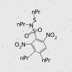 CCCSN(CCC)S(=O)(=O)c1c([N+](=O)[O-])cc(CCC)c(CCC)c1[N+](=O)[O-]